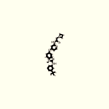 Cn1c(Nc2cccc(C(C)(C)C)c2)nc2cc(Oc3ccnc(NC(=O)CN4CCC4)c3)ccc21